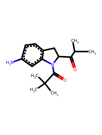 CC(C)C(=O)C1Cc2ccc(N)cc2N1C(=O)C(C)(C)C